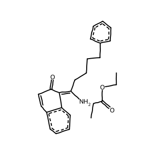 CCOC(=O)CC.NC(CCCCc1ccccc1)=C1C(=O)C=Cc2ccccc21